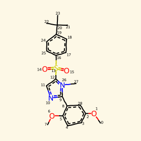 COc1ccc(OC)c(-c2ncc(S(=O)(=O)c3ccc(C(C)(C)C)cc3)n2C)c1